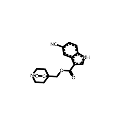 N#Cc1ccc2[nH]cc(C(=O)OCC34CCN(CC3)CC4)c2c1